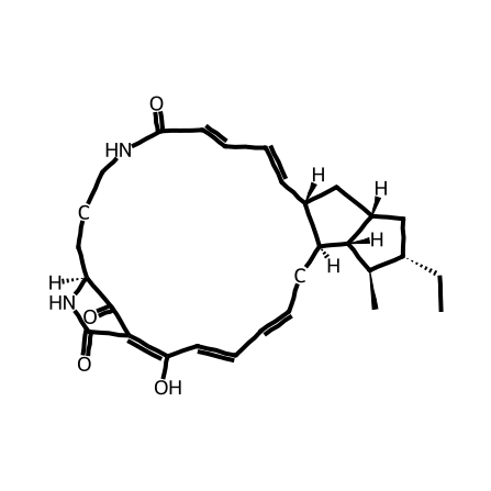 CC[C@H]1C[C@H]2C[C@H]3/C=C/C=C/C(=O)NCCC[C@@H]4NC(=O)/C(=C(O)/C=C/C=C/C[C@@H]3[C@H]2[C@@H]1C)C4=O